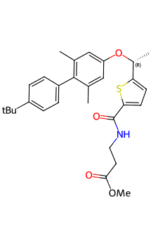 COC(=O)CCNC(=O)c1ccc([C@@H](C)Oc2cc(C)c(-c3ccc(C(C)(C)C)cc3)c(C)c2)s1